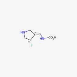 O=C(O)NC[C@H]1CNC[C@H]1F